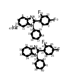 Fc1ccc(-c2nc3ccccc3n2-c2ccccc2)c(F)c1.Fc1ccc(-c2nc3ccccc3n2-c2ccccc2)c(F)c1.[Ir].[Ir]